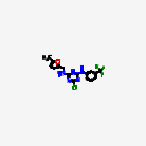 Cc1ccc(CNc2nc(Cl)nc(Nc3cccc(C(F)(F)F)c3)n2)o1